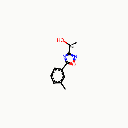 Cc1cccc(-c2nc([C@H](C)O)no2)c1